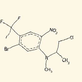 CC(CCl)N(C)c1cc(Br)c(C(F)(F)I)cc1[N+](=O)[O-]